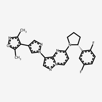 Cc1noc(C)c1-c1cnn(-c2cnn3ccc(N4CCC[C@@H]4c4cc(F)ccc4F)nc23)c1